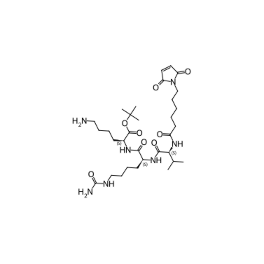 CC(C)[C@H](NC(=O)CCCCCN1C(=O)C=CC1=O)C(=O)N[C@@H](CCCCNC(N)=O)C(=O)N[C@@H](CCCCN)C(=O)OC(C)(C)C